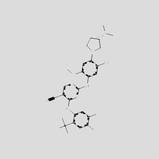 COc1cc(N2CC[C@@H](N(C)C)C2)c(N)cc1Nc1ncc(C#N)c(Nc2cc(Cl)c(F)cc2C(C)(C)O)n1